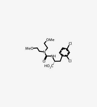 COCCN(CCOC)C(=O)N[C@H](Cc1ccc(Cl)cc1Cl)C(=O)O